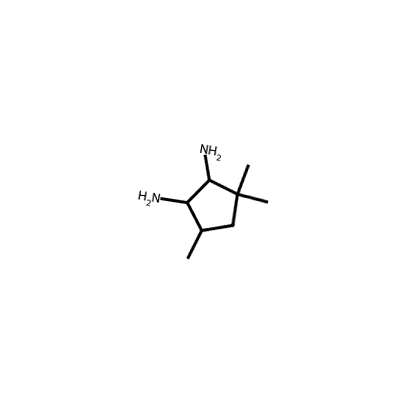 CC1CC(C)(C)C(N)C1N